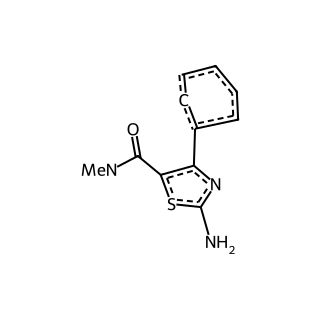 CNC(=O)c1sc(N)nc1-c1ccccc1